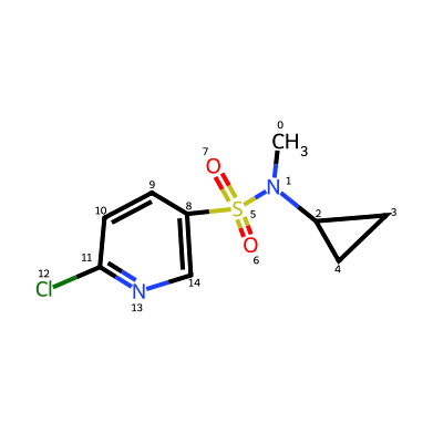 CN(C1CC1)S(=O)(=O)c1ccc(Cl)nc1